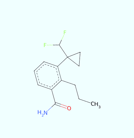 CCCc1c(C(N)=O)cccc1C1(C(F)F)CC1